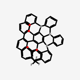 FC(F)(F)c1ccccc1N1c2ccccc2B2c3ccccc3N3c4ccccc4B4c5ccccc5Sc5c4c3c2c1c5-c1c(-c2ccccc2)cccc1-c1ccccc1